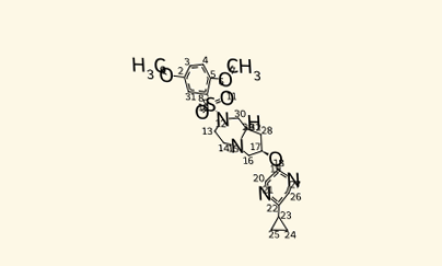 COc1ccc(OC)c(S(=O)(=O)N2CCN3C[C@H](Oc4cnc(C5CC5)cn4)C[C@H]3C2)c1